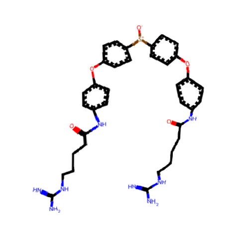 N=C(N)NCCCCC(=O)Nc1ccc(Oc2ccc([S+]([O-])c3ccc(Oc4ccc(NC(=O)CCCCNC(=N)N)cc4)cc3)cc2)cc1